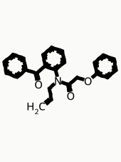 C=CCN(C(=O)COc1ccccc1)c1ccccc1C(=O)c1ccccc1